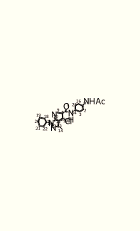 CC(=O)Nc1ccc(NC(=O)c2cnc3c(c(C)nn3-c3ccccc3)c2Cl)cc1